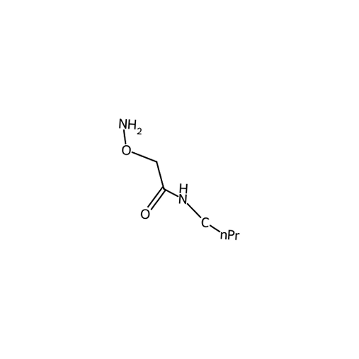 CCCCNC(=O)CON